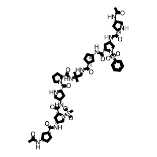 CC(=O)N[C@H]1CC[C@H](C(=O)N[C@@H]2C[C@@H](C(=O)N[C@H]3CN[C@H](C(=O)N4CCC[C@@H]4C(=O)NC(C)(C)CNC(=O)[C@H]4CC[C@H](NC(=O)[C@@H]5C[C@@H](NC(=O)[C@@H]6C[C@@H](NC(C)=O)CN6)CN5S(=O)(=O)c5ccccc5)C4)C3)N(S(C)(=O)=O)C2)C1